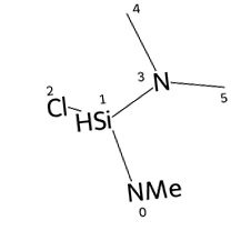 CN[SiH](Cl)N(C)C